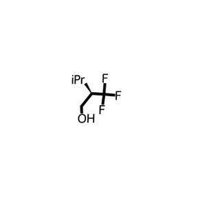 CC(C)[C@H](CO)C(F)(F)F